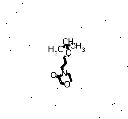 CC(C)(C)OCCCN1CCOCC1=O